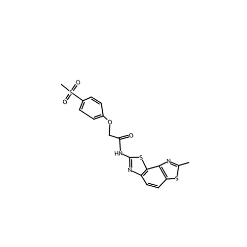 Cc1nc2c(ccc3nc(NC(=O)COc4ccc(S(C)(=O)=O)cc4)sc32)s1